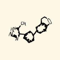 N#Cc1[nH]nnc1-c1cccc(-c2ccc3c(c2)CCO3)c1